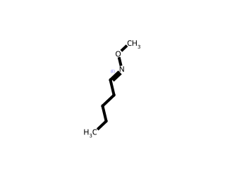 CCCC/C=N/OC